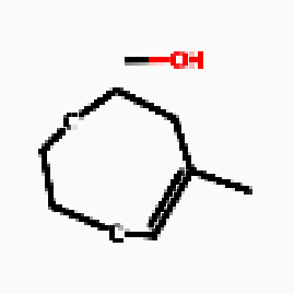 CC1=CCCCCCC1.CO